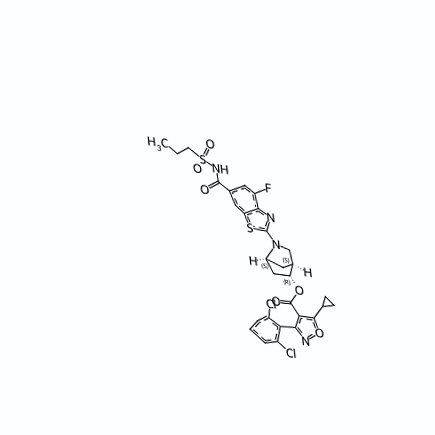 CCCS(=O)(=O)NC(=O)c1cc(F)c2nc(N3C[C@@H]4C[C@H]3C[C@H]4OC(=O)c3c(-c4c(Cl)cccc4Cl)noc3C3CC3)sc2c1